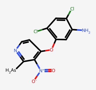 Nc1cc(Oc2ccnc([AsH2])c2[N+](=O)[O-])c(Cl)cc1Cl